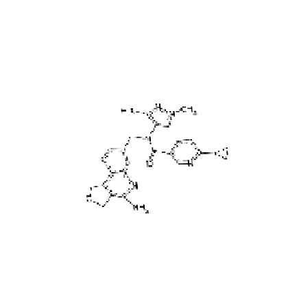 Cc1nn(C)cc1N(Cc1ccc2c3c(c(N)nc2c1)COC3)C(=O)c1ccc(C2CC2)nc1